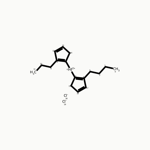 CCCCC1=[C]([Hf+2][C]2=C(CCC)C=CC2)CC=C1.[Cl-].[Cl-]